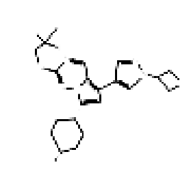 C[C@@H](Nc1ncc2c(-c3cnn(C4COC4)c3)cc([C@H]3CC[C@H](O)CC3)n2n1)C(F)(F)F